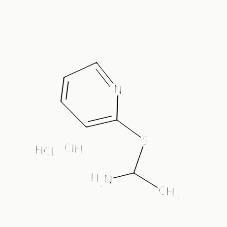 CC(N)Sc1ccccn1.Cl.Cl